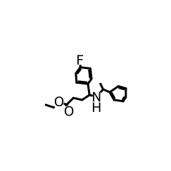 CCOC(=O)CCC(NC(C)c1ccccc1)c1ccc(F)cc1